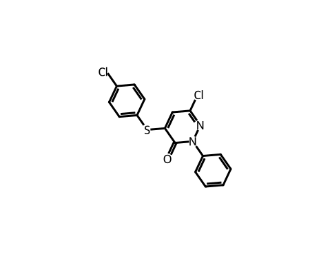 O=c1c(Sc2ccc(Cl)cc2)cc(Cl)nn1-c1ccccc1